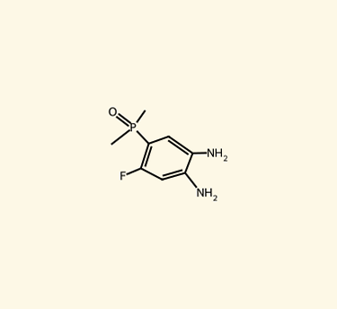 CP(C)(=O)c1cc(N)c(N)cc1F